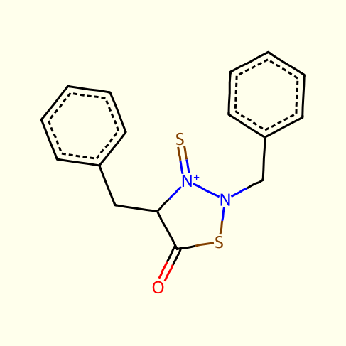 O=C1SN(Cc2ccccc2)[N+](=S)C1Cc1ccccc1